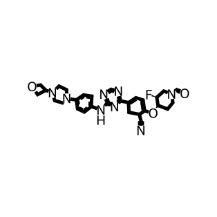 N#CC1CC(c2ncnc(Nc3ccc(N4CCN(C5COC5)CC4)cc3)n2)=CC=C1O[C@H]1CCN(C=O)C[C@H]1F